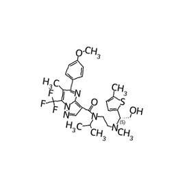 COc1ccc(-c2nc3c(C(=O)N(CCN(C)[C@@H](CO)c4ccc(C)s4)C(C)C)cnn3c(C(F)(F)F)c2C)cc1